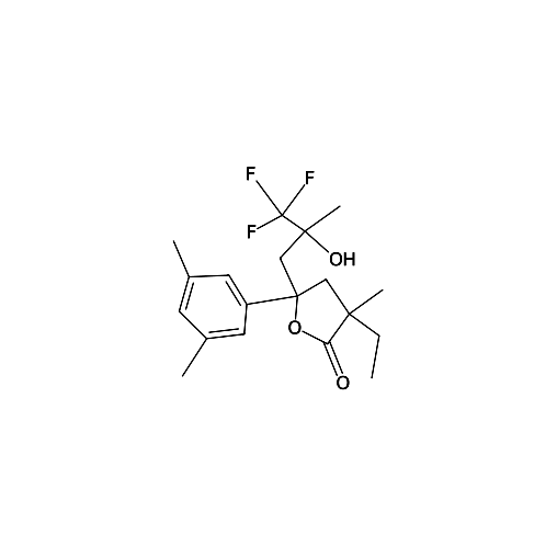 CCC1(C)CC(CC(C)(O)C(F)(F)F)(c2cc(C)cc(C)c2)OC1=O